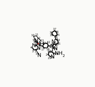 N#Cc1ccnc(NN2C3CCC2CN(Cc2ccc(-n4c(-c5cccnc5N)nc5ccc(-c6ccccc6)nc54)cc2)C3)n1